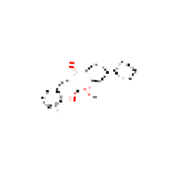 CCOC(=O)C(Cc1cccc(C)c1)C(=O)[C@H]1CC[C@H](C2C=CC=CC2)CC1